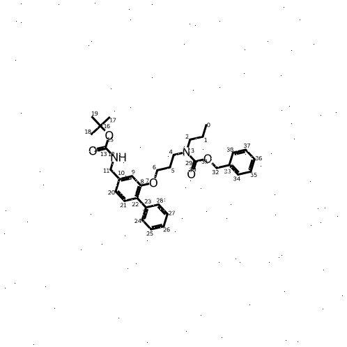 CCCN(CCCOc1cc(CNC(=O)OC(C)(C)C)ccc1-c1ccccc1)C(=O)OCc1ccccc1